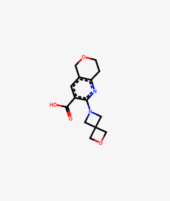 O=C(O)c1cc2c(nc1N1CC3(COC3)C1)CCOC2